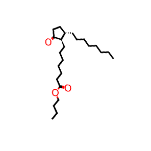 CCCCCCCC[C@H]1CCC(=O)[C@@H]1CCCCCCC(=O)OCCCC